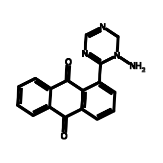 NN1CN=CN=C1c1cccc2c1C(=O)c1ccccc1C2=O